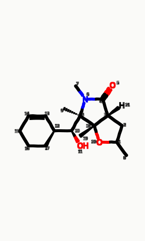 CC1C[C@H]2C(=O)N(C)[C@](C)([C@@H](O)[C@@H]3C=CCCC3)[C@@]2(C)O1